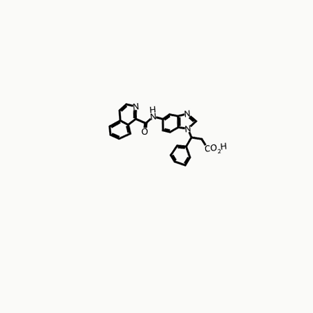 O=C(O)CC(c1ccccc1)n1cnc2cc(NC(=O)c3nccc4ccccc34)ccc21